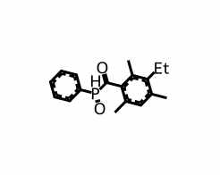 CCc1c(C)cc(C)c(C(=O)[PH](=O)c2ccccc2)c1C